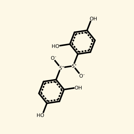 [O-][S+](c1ccc(O)cc1O)[S+]([O-])c1ccc(O)cc1O